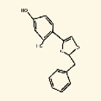 Oc1ccc(C2=COC(Cc3ccccc3)O2)c(O)c1